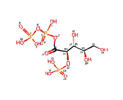 O=C(OP(=O)(O)OP(=O)(O)O)[C@H](OP(=O)(O)O)[C@H](O)[C@H](O)CO